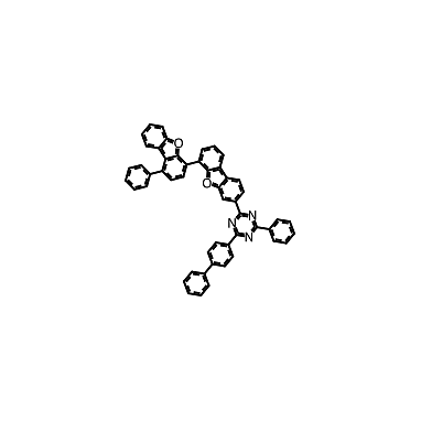 c1ccc(-c2ccc(-c3nc(-c4ccccc4)nc(-c4ccc5c(c4)oc4c(-c6ccc(-c7ccccc7)c7c6oc6ccccc67)cccc45)n3)cc2)cc1